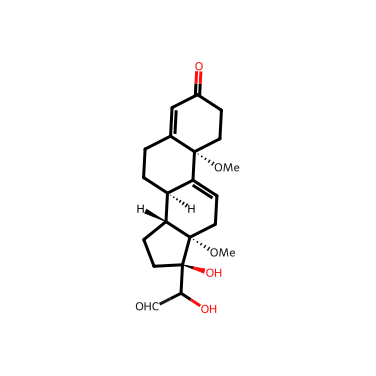 CO[C@@]12CCC(=O)C=C1CC[C@H]1C2=CC[C@]2(OC)[C@@H]1CC[C@@]2(O)C(O)C=O